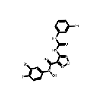 N#Cc1cccc(NC(=O)Nc2nonc2C(=N)N(O)c2ccc(F)c(Br)c2)c1